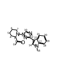 CC(=O)C1CCCCN1n1cnc(-c2cn(C)c3ccccc23)n1